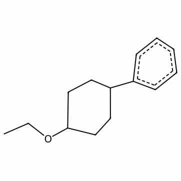 CCOC1CCC(c2ccccc2)CC1